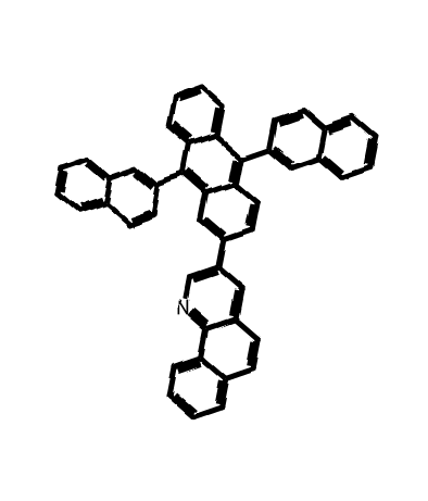 c1ccc2cc(-c3c4ccccc4c(-c4ccc5ccccc5c4)c4cc(-c5cnc6c(ccc7ccccc76)c5)ccc34)ccc2c1